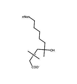 CCCCCCCCCCCCCCC(C)(O)C[N+](C)(C)CC(=O)[O-]